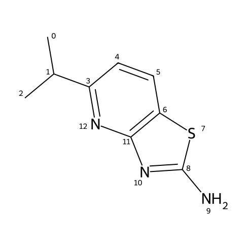 CC(C)c1ccc2sc(N)nc2n1